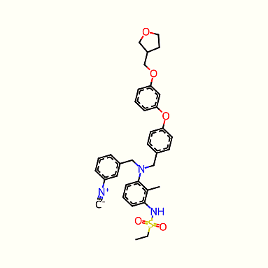 [C-]#[N+]c1cccc(CN(Cc2ccc(Oc3cccc(OCC4CCOC4)c3)cc2)c2cccc(NS(=O)(=O)CC)c2C)c1